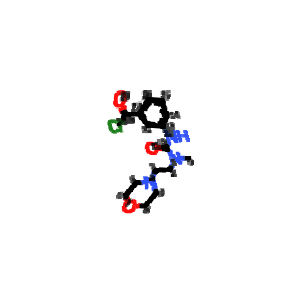 CN(CCN1CCOCC1)C(=O)Nc1cccc(C(=O)Cl)c1